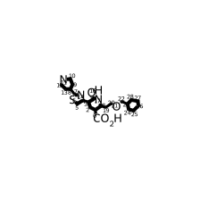 O=C(O)c1cc(-c2csc(-c3ccncc3)n2)c(=O)[nH]c1CCOCc1ccccc1